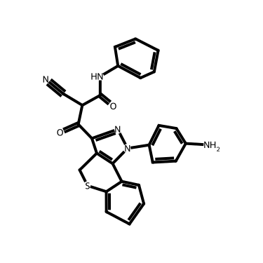 N#CC(C(=O)Nc1ccccc1)C(=O)c1nn(-c2ccc(N)cc2)c2c1CSc1ccccc1-2